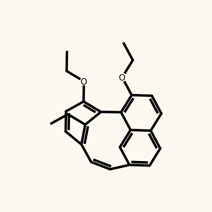 CCOc1ccc2ccc3ccc4ccc(OCC)c(c1c2CC)c4c3